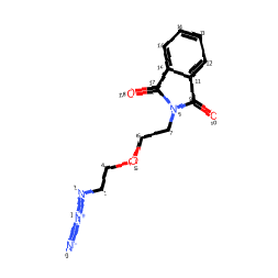 [N-]=[N+]=NCCOCCN1C(=O)c2ccccc2C1=O